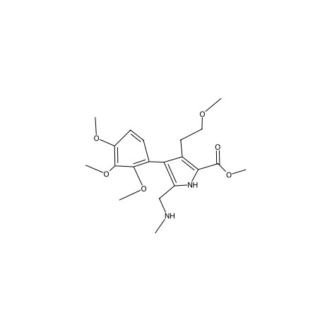 CNCc1[nH]c(C(=O)OC)c(CCOC)c1-c1ccc(OC)c(OC)c1OC